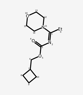 CC/C(=N/C(=O)OCC1CCC1)N1CCOCC1